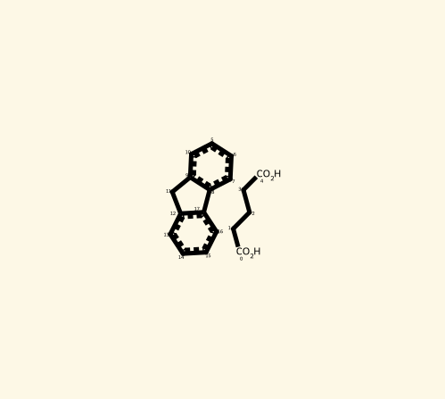 O=C(O)CCCC(=O)O.c1ccc2c(c1)Cc1ccccc1-2